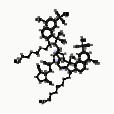 COCCOCCCN1/C(=C/C=C/C=C/C2=[N+](CCOCCOC)c3ccc4c(C)cc(S(=O)(=O)O)cc4c3C2(C)C)C(C)(CCCCCC(=O)ON2C(=O)CCC2=O)c2c1ccc1c(C)cc(S(=O)(=O)O)cc21